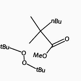 CC(C)(C)OOC(C)(C)C.CCCCC(C)(C)C(=O)OC